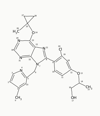 Cc1ccnc(Cn2c(-c3ccc(OC(C)CO)cc3Cl)nc3c(OC4(C)CC4)ncnc32)c1